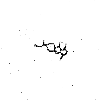 Cc1c2c(nc3c(Cl)ccc(F)c13)CCN(C(=O)OC(C)(C)C)CC2